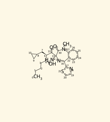 CCCC[C@H](O)[C@@H](CC1CC1)C(=O)C1(N)N=C(c2nccs2)c2ccccc2N(C)C1=O